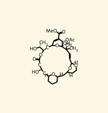 COC(=O)C1=CC2C[C@H]([C@@H](C)O)OC(=O)C[C@H](O)C[C@@H]3CCC[C@H](C[C@@H]4CCO[C@H](/C=C/C(C)(C)C(O)(O2)[C@H]1OC(C)=O)O4)O3